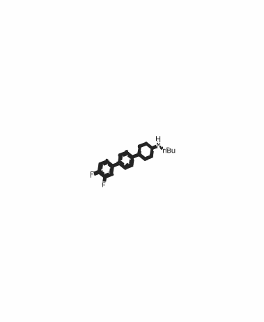 CCCCNC1CCC(c2ccc(-c3ccc(F)c(F)c3)cc2)CC1